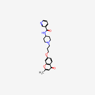 Cc1cc(=O)c2ccc(OCCCN3CCC(NC(=O)c4cccnc4)CC3)cc2o1